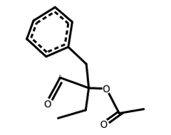 CCC([C]=O)(Cc1ccccc1)OC(C)=O